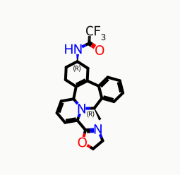 C[C@@H]1c2ccccc2C2=C(CC[C@@H](NC(=O)C(F)(F)F)C2)C2C=CC=C(C3=NCCO3)N21